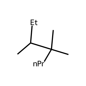 CCCC(C)(C)C(C)CC